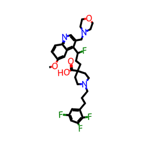 COc1ccc2ncc(CN3CCOCC3)c(C(F)CCC3(C(=O)O)CCN(CCCc4cc(F)cc(F)c4F)CC3)c2c1